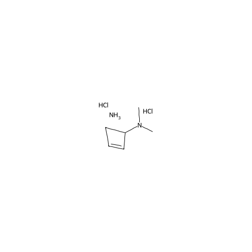 CN(C)C1C=CC1.Cl.Cl.N